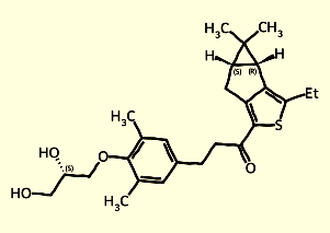 CCc1sc(C(=O)CCc2cc(C)c(OC[C@@H](O)CO)c(C)c2)c2c1[C@@H]1[C@H](C2)C1(C)C